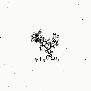 CC(C)n1cc(-c2ccnc(N)n2)c(-c2cccc(NS(=O)(=O)c3cc(F)ccc3F)c2F)n1